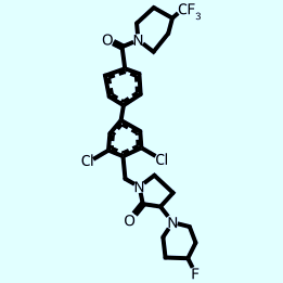 O=C(c1ccc(-c2cc(Cl)c(CN3CCC(N4CCC(F)CC4)C3=O)c(Cl)c2)cc1)N1CCC(C(F)(F)F)CC1